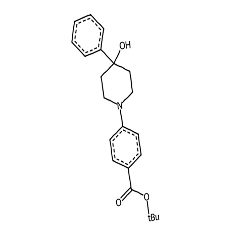 CC(C)(C)OC(=O)c1ccc(N2CCC(O)(c3ccccc3)CC2)cc1